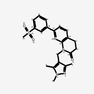 Cc1nn(C)c(C)c1CN1C(=O)CCc2ccc(-c3cccc(S(C)(=O)=O)c3)nc21